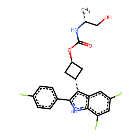 C[C@H](CO)NC(=O)O[C@H]1C[C@H](c2c(-c3ccc(F)cc3)[nH]c3c(F)cc(F)cc32)C1